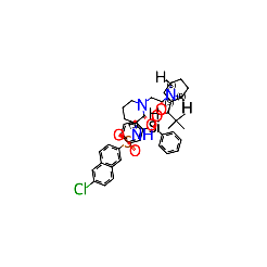 CC(C)(C)C(O[SiH](c1ccccc1)c1ccccc1)[C@H]1C[C@@H]2CC[C@H]1N2C(=O)CN1CCC[C@H](NS(=O)(=O)c2ccc3cc(Cl)ccc3c2)C1=O